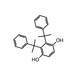 CC(C)(c1ccccc1)c1c(O)ccc(O)c1C(C)(C)c1ccccc1